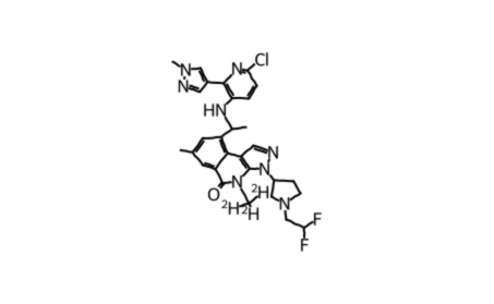 [2H]C([2H])([2H])n1c(=O)c2cc(C)cc(C(C)Nc3ccc(Cl)nc3-c3cnn(C)c3)c2c2cnn(C3CCN(CC(F)F)C3)c21